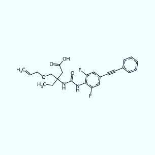 C=CCOCC(CC)(CC(=O)O)NC(=O)Nc1c(F)cc(C#Cc2ccccc2)cc1F